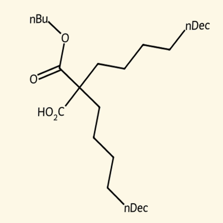 CCCCCCCCCCCCCCC(CCCCCCCCCCCCCC)(C(=O)O)C(=O)OCCCC